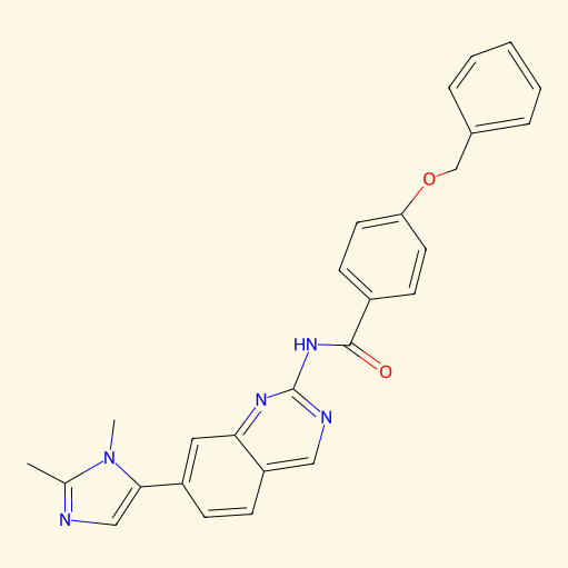 Cc1ncc(-c2ccc3cnc(NC(=O)c4ccc(OCc5ccccc5)cc4)nc3c2)n1C